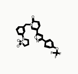 O=c1ccc(-c2cc(-c3ccc(OC(F)(F)F)cc3)no2)cn1Cc1cccc(N2CCCS2(=O)=O)c1